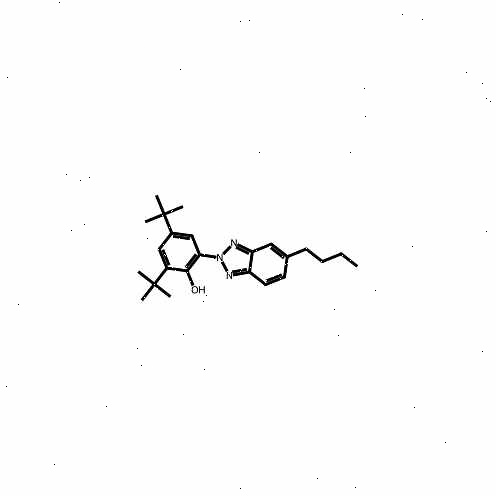 CCCCc1ccc2nn(-c3cc(C(C)(C)C)cc(C(C)(C)C)c3O)nc2c1